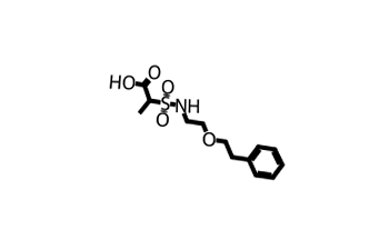 CC(C(=O)O)S(=O)(=O)NCCOCCc1ccccc1